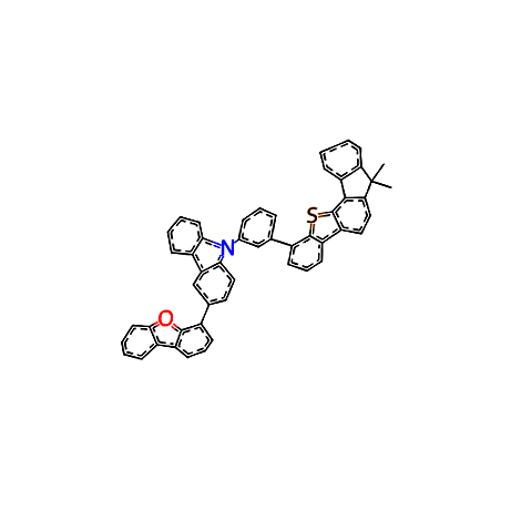 CC1(C)c2ccccc2-c2c1ccc1c2sc2c(-c3cccc(-n4c5ccccc5c5cc(-c6cccc7c6oc6ccccc67)ccc54)c3)cccc21